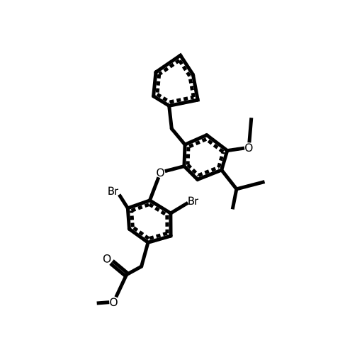 COC(=O)Cc1cc(Br)c(Oc2cc(C(C)C)c(OC)cc2Cc2ccccc2)c(Br)c1